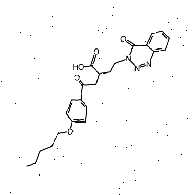 CCCCCOc1ccc(C(=O)CC(CCn2nnc3ccccc3c2=O)C(=O)O)cc1